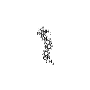 Cc1nc2cc(-c3ccc4ncc(N5CCN(C(=O)C6(N)CC6)CC5)nc4n3)ccc2o1